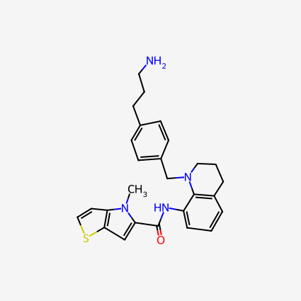 Cn1c(C(=O)Nc2cccc3c2N(Cc2ccc(CCCN)cc2)CCC3)cc2sccc21